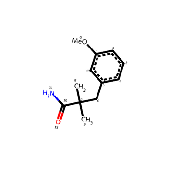 COc1cccc(CC(C)(C)C(N)=O)c1